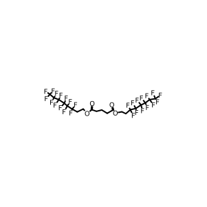 O=C(CCCC(=O)OCCC(F)(F)C(F)(F)C(F)(F)C(F)(F)C(F)(F)C(F)(F)F)OCCC(F)(F)C(F)(F)C(F)(F)C(F)(F)C(F)(F)C(F)(F)F